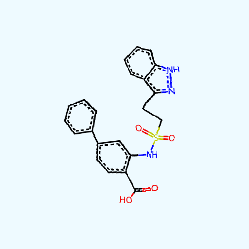 O=C(O)c1ccc(-c2ccccc2)cc1NS(=O)(=O)CCc1n[nH]c2ccccc12